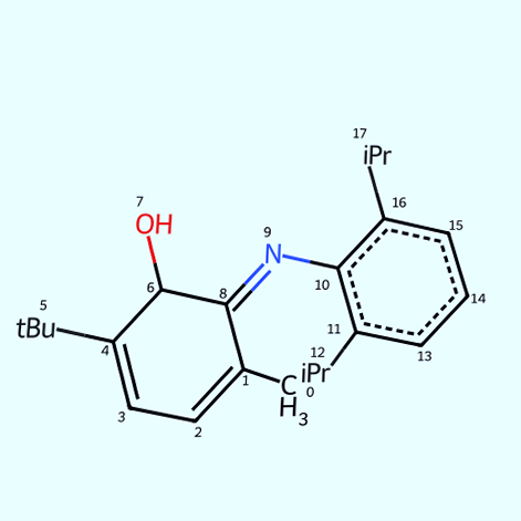 CC1=CC=C(C(C)(C)C)C(O)C1=Nc1c(C(C)C)cccc1C(C)C